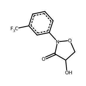 O=C1C(O)CON1c1cccc(C(F)(F)F)c1